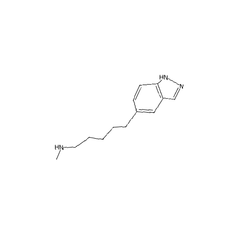 CNCCCCCc1ccc2[nH]ncc2c1